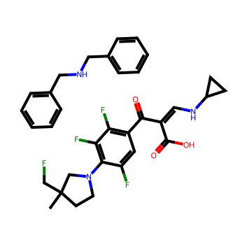 CC1(CF)CCN(c2c(F)cc(C(=O)C(=CNC3CC3)C(=O)O)c(F)c2F)C1.c1ccc(CNCc2ccccc2)cc1